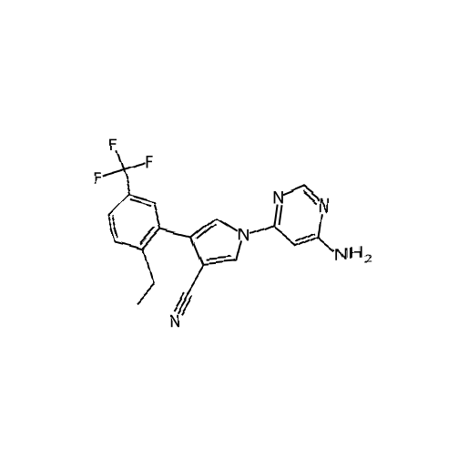 CCc1ccc(C(F)(F)F)cc1-c1cn(-c2cc(N)ncn2)cc1C#N